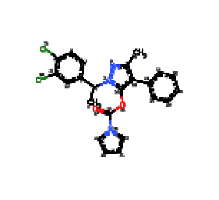 Cc1nn(C(C)c2ccc(Cl)c(Cl)c2)c(OC(=O)n2cccc2)c1-c1ccccc1